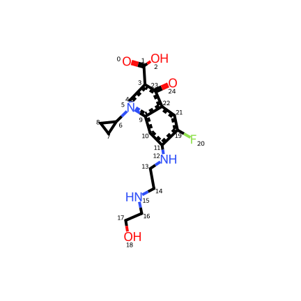 O=C(O)c1cn(C2CC2)c2cc(NCCNCCO)c(F)cc2c1=O